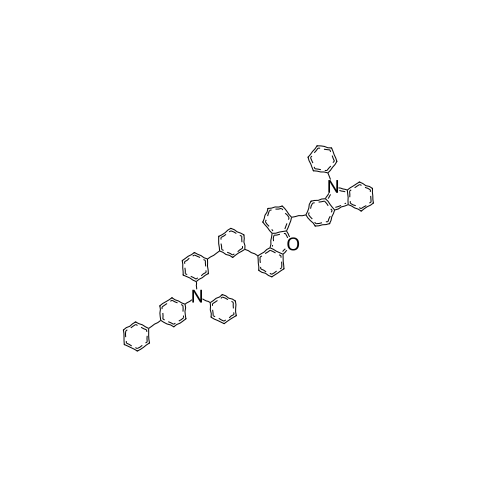 c1ccc(-c2ccc(N(c3ccccc3)c3cccc(-c4cccc(-c5cccc6oc7c(-c8ccc9c%10ccccc%10n(-c%10ccccc%10)c9c8)cccc7c56)c4)c3)cc2)cc1